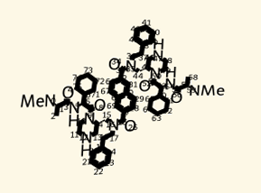 CN[C@@H](C)C(=O)N[C@H](C(=O)N1CCNC[C@H]1CN(CCc1ccccc1)C(=O)c1ccc2cc(C(=O)N(CCc3ccccc3)C[C@@H]3CNCCN3C(=O)[C@@H](NC(=O)[C@H](C)NC)C3CCCCC3)ccc2c1)C1CCCCC1